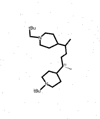 CC(CC[C@H](C)C1CCN(C(C)(C)C)CC1)C1CCN(CC(C)(C)C)CC1